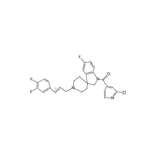 O=C(c1ccnc(Cl)c1)N1CC2(CCN(C/C=C/c3ccc(F)c(F)c3)CC2)c2cc(F)ccc21